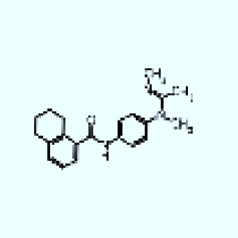 CN=C(C)N(C)c1ccc(NC(=O)c2cccc3c2CCCC3)cc1